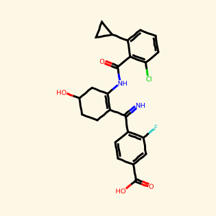 N=C(C1=C(NC(=O)c2c(Cl)cccc2C2CC2)CC(O)CC1)c1ccc(C(=O)O)cc1F